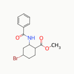 COC(=O)C1CCC(Br)CC1NC(=O)c1ccccc1